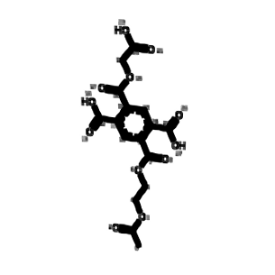 CC(=O)OCCOC(=O)c1cc(C(=O)O)c(C(=O)OCC(=O)O)cc1C(=O)O